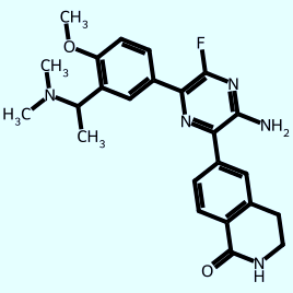 COc1ccc(-c2nc(-c3ccc4c(c3)CCNC4=O)c(N)nc2F)cc1C(C)N(C)C